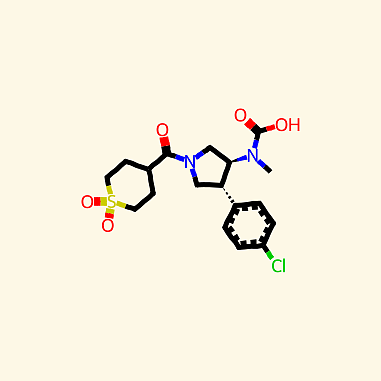 CN(C(=O)O)[C@@H]1CN(C(=O)C2CCS(=O)(=O)CC2)C[C@H]1c1ccc(Cl)cc1